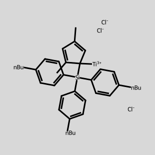 CCCCc1ccc([Si](c2ccc(CCCC)cc2)(c2ccc(CCCC)cc2)[C]2([Ti+3])C=C(C)C=C2C)cc1.[Cl-].[Cl-].[Cl-]